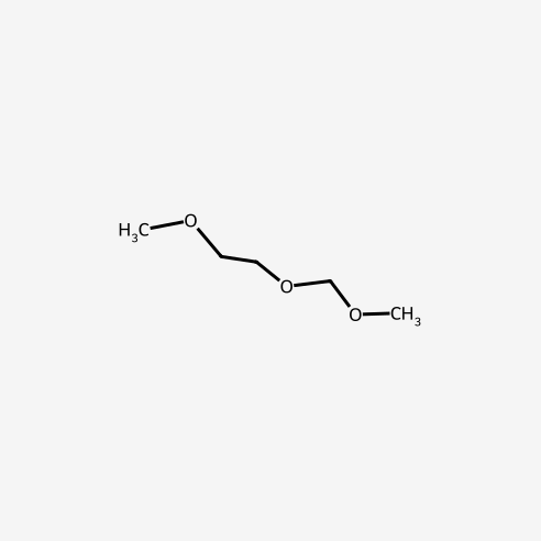 COCCOCOC